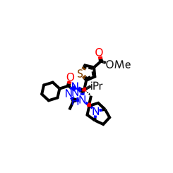 COC(=O)c1csc([C@H](CCN2C3CCC2CC(n2c(C)nnc2C(C)C)C3)NC(=O)C2CCCCC2)c1